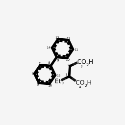 CCC(CC(=O)O)C(=O)O.c1ccc(-c2ccccc2)cc1